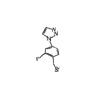 Fc1cc(-n2ccnn2)ccc1CBr